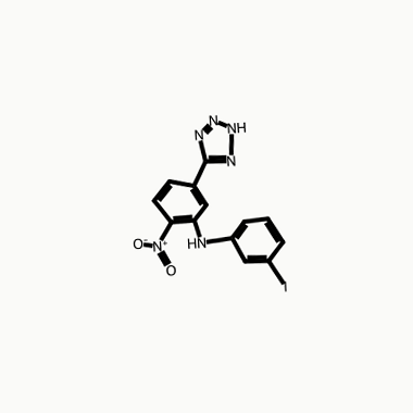 O=[N+]([O-])c1ccc(-c2nn[nH]n2)cc1Nc1cccc(I)c1